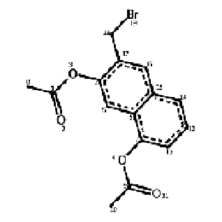 CC(=O)Oc1cc2c(OC(C)=O)cccc2cc1CBr